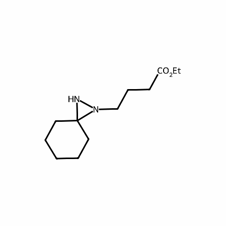 CCOC(=O)CCCN1NC12CCCCC2